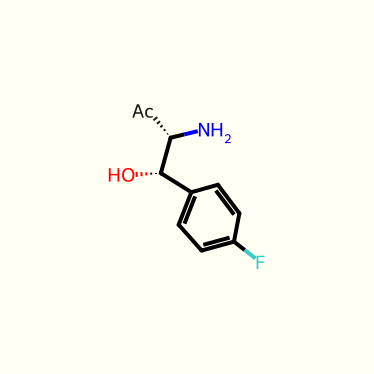 CC(=O)[C@H](N)[C@@H](O)c1ccc(F)cc1